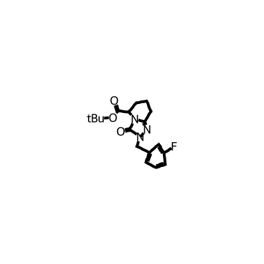 CC(C)(C)OC(=O)C1CCCc2nn(Cc3cccc(F)c3)c(=O)n21